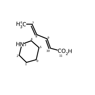 C1CCNCC1.CC=CC=CC(=O)O